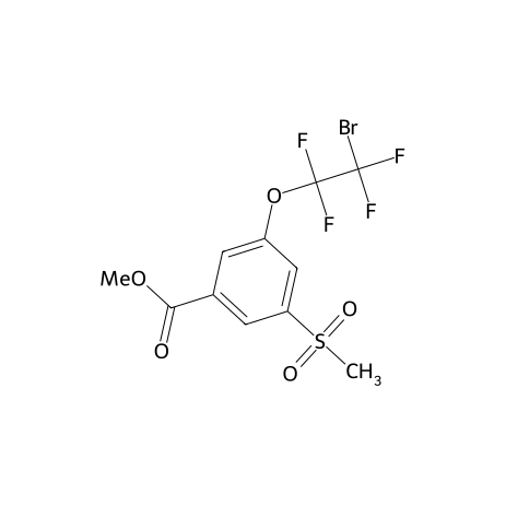 COC(=O)c1cc(OC(F)(F)C(F)(F)Br)cc(S(C)(=O)=O)c1